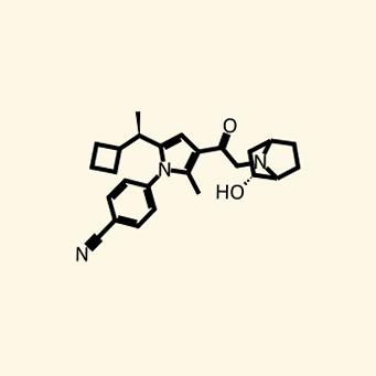 Cc1c(C(=O)CN2C3CCC2[C@H](O)C3)cc([C@H](C)C2CCC2)n1-c1ccc(C#N)cc1